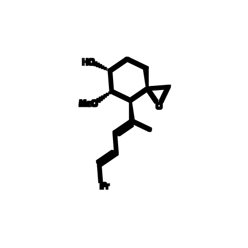 CO[C@@H]1[C@H](O)CC[C@]2(CO2)[C@H]1/C(C)=C/C=C/C(C)C